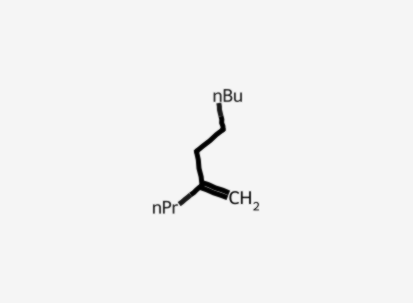 C=C(CCC)CCCCCC